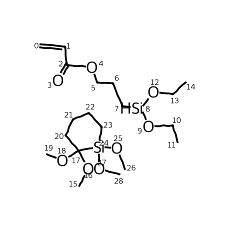 C=CC(=O)OCCC[SiH](OCC)OCC.COC1(OC)CCCC[Si]1(OC)OC